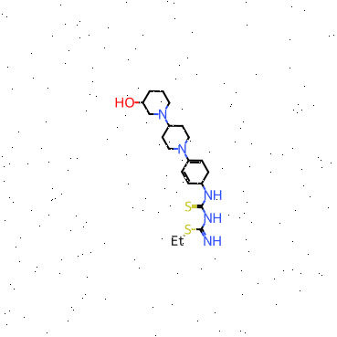 CCSC(=N)NC(=S)NC1C=CC(N2CCC(N3CCCC(O)C3)CC2)=CC1